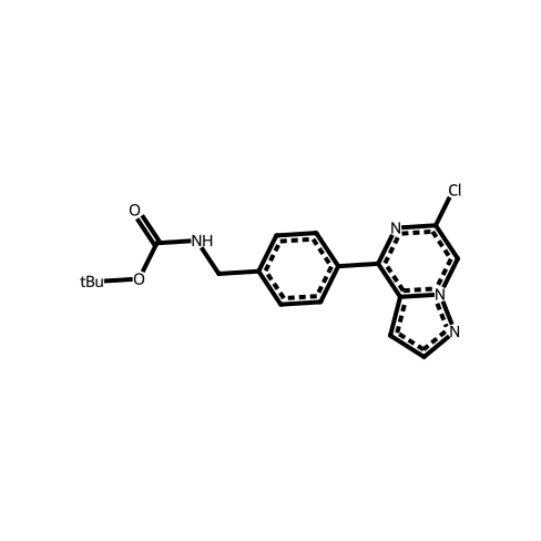 CC(C)(C)OC(=O)NCc1ccc(-c2nc(Cl)cn3nccc23)cc1